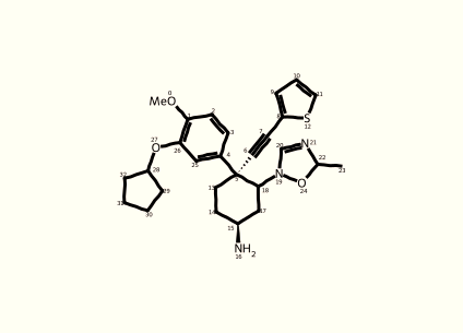 COc1ccc([C@]2(C#Cc3cccs3)CC[C@H](N)CC2N2C=NC(C)O2)cc1OC1CCCC1